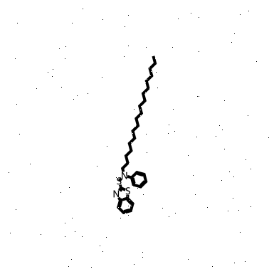 CCCCCCCCCCCCCCCCCCCN(Sc1nc2ccccc2s1)c1ccccc1